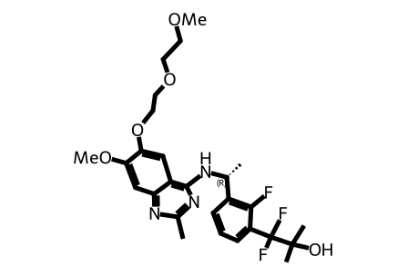 COCCOCCOc1cc2c(N[C@H](C)c3cccc(C(F)(F)C(C)(C)O)c3F)nc(C)nc2cc1OC